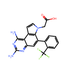 Nc1nc(N)c2c(cc(-c3ccccc3C(F)(F)F)c3c2ccn3CC(=O)O)n1